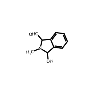 CN1C(O)c2ccccc2C1C=O